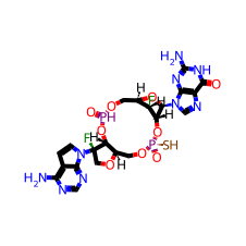 Nc1nc2c(ncn2[C@@H]2O[C@@H]3CO[PH](=O)O[C@@H]4[C@@H](CO[P@@](=O)(S)O[C@@H]2[C@H]3F)OC[C@]4(F)n2ccc3c(N)ncnc32)c(=O)[nH]1